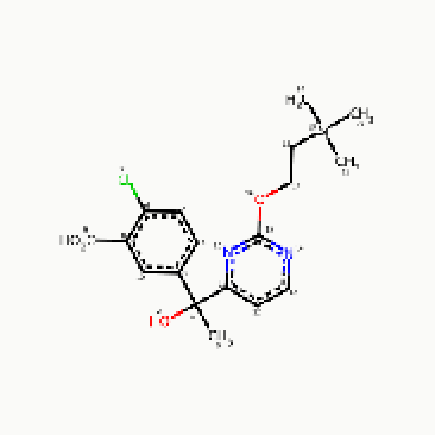 CC(O)(c1ccc(Cl)c(C(=O)O)c1)c1ccnc(OCC[Si](C)(C)C)n1